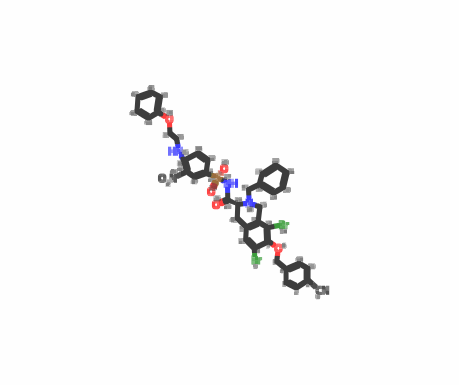 N#Cc1ccc(COc2c(Br)cc3c(c2Br)CN(Cc2ccccc2)[C@H](C(=O)NS(=O)(=O)c2ccc(NCCOc4ccccc4)c([N+](=O)[O-])c2)C3)cc1